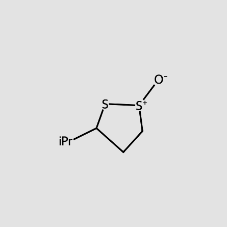 CC(C)C1CC[S+]([O-])S1